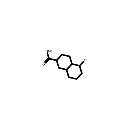 COC(=O)C1CCC2C(Cl)CCCC2C1